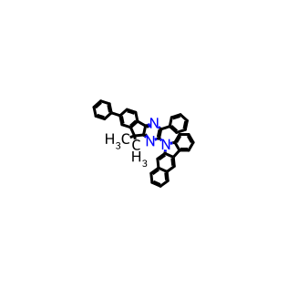 CC1(C)c2cc(-c3ccccc3)ccc2-c2nc(-c3ccccc3)c(-n3c4ccccc4c4cc5ccccc5cc43)nc21